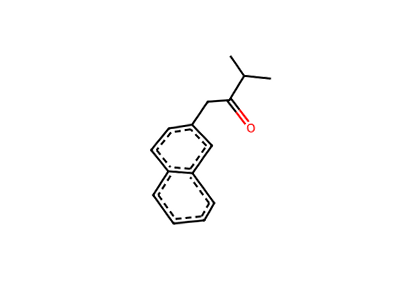 CC(C)C(=O)Cc1ccc2ccccc2c1